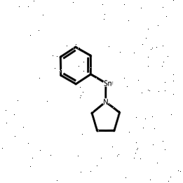 c1cc[c]([Sn][N]2CCCC2)cc1